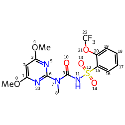 COc1cc(OC)nc(N(C)C(=O)NS(=O)(=O)c2ccccc2OC(F)(F)F)n1